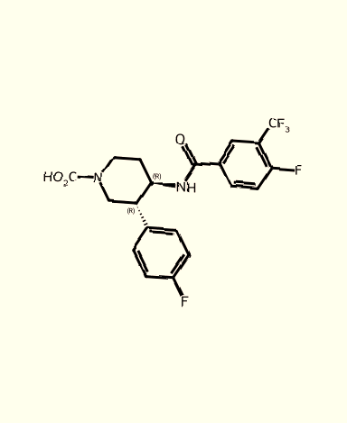 O=C(N[C@@H]1CCN(C(=O)O)C[C@H]1c1ccc(F)cc1)c1ccc(F)c(C(F)(F)F)c1